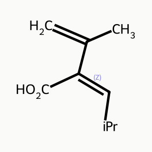 C=C(C)/C(=C/C(C)C)C(=O)O